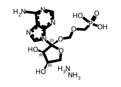 N.N.Nc1ncnc2c1ncn2[C@]1(OCOCP(=O)(O)O)OC[C@@H](O)[C@H]1O